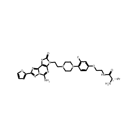 CC(C)[C@H](N)C(=O)NCCOc1ccc(N2CCN(CCn3c(=O)sc4c3nc(N)n3nc(-c5ccco5)nc43)CC2)c(F)c1